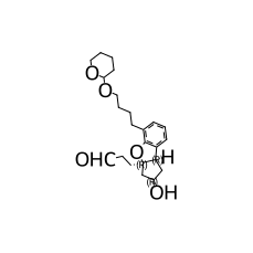 O=CCC[C@@]12C[C@H](O)C[C@@H]1c1cccc(CCCCOC3CCCCO3)c1O2